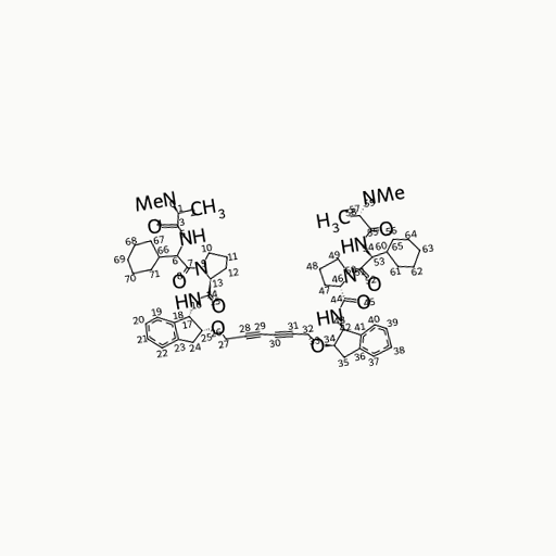 CN[C@@H](C)C(=O)NC(C(=O)N1CCC[C@H]1C(=O)N[C@H]1c2ccccc2C[C@H]1OCC#CC#CCO[C@@H]1Cc2ccccc2[C@@H]1NC(=O)[C@@H]1CCCN1C(=O)[C@@H](NC(=O)[C@H](C)NC)C1CCCCC1)C1CCCCC1